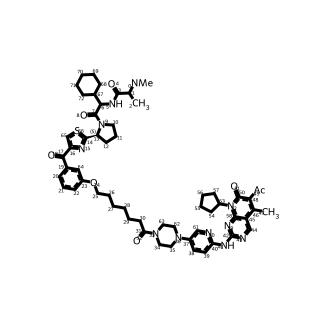 CNC(C)C(=O)NC(C(=O)N1CCC[C@H]1c1nc(C(=O)c2cccc(OCCCCCCC(=O)N3CCN(c4ccc(Nc5ncc6c(C)c(C(C)=O)c(=O)n(C7CCCC7)c6n5)nc4)CC3)c2)cs1)C1CCCCC1